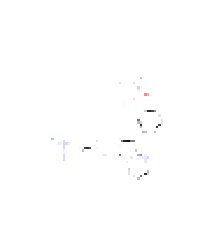 CN(C)S(=O)(=O)c1cccc(-c2c(Cl)n(C/C(F)=C/CNCl)c3cccnc23)c1